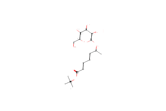 CC(CCCCC(=O)OC(C)(C)C)OC1OC(CO)C(O)C(O)C1O